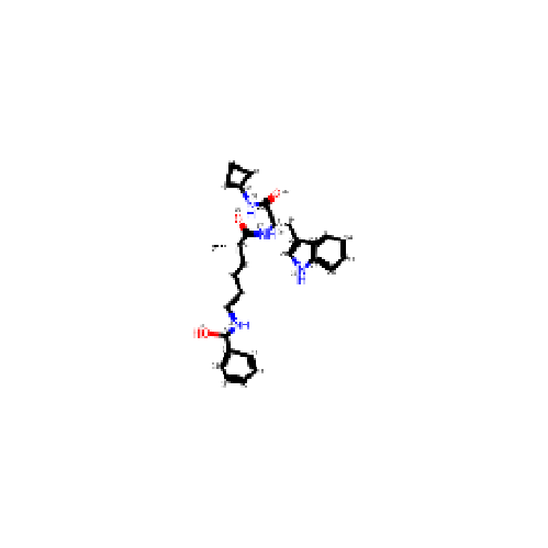 C[C@@H](CCCCNC(O)c1ccccc1)C(=O)N[C@@H](Cc1c[nH]c2ccccc12)C(=O)NC1CCC1